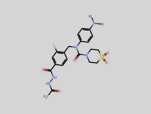 CCN(CC)c1ccc(N(Cc2ccc(C(=O)NNC(=O)C(F)(F)F)cc2F)C(=O)N2CCS(=O)(=O)CC2)cc1